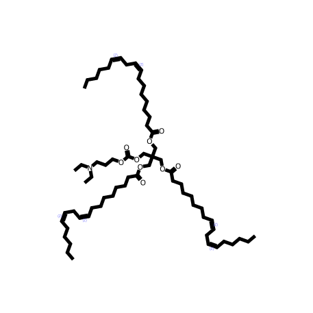 CCCCC/C=C\C/C=C\CCCCCCCC(=O)OCC(COC(=O)CCCCCCC/C=C\C/C=C\CCCCC)(COC(=O)CCCCCCC/C=C\C/C=C\CCCCC)COC(=O)OCCCN(CC)CC